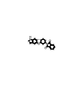 O=C1c2ccccc2C(=O)N1[C@@H]1CCC[C@H](Oc2ccc3[nH]ncc3c2)C1